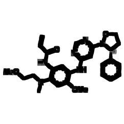 C=CC(=O)Nc1cc(Nc2cc(N3OCC[C@@H]3c3ccccc3)ncn2)c(OC)cc1N(C)CCOC